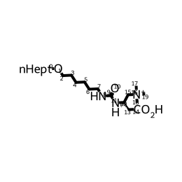 CCCCCCCOCCCCCCNC(=O)N[C@H](CC(=O)O)C[N+](C)(C)C